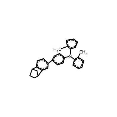 Cc1ccccc1N(c1ccc(-c2ccc3c(c2)C2CCC3C2)cc1)c1ccccc1C